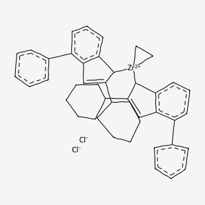 C1=C(C2CCCCC2)[CH]([Zr+2]2([CH]3C(C4CCCCC4)=Cc4c(-c5ccccc5)cccc43)[CH2][CH2]2)c2cccc(-c3ccccc3)c21.[Cl-].[Cl-]